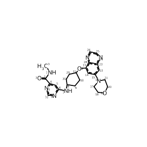 CNC(=O)c1cc(NC2CCC(Oc3cc(N4CCOCC4)cc4nccnc34)CC2)ncn1